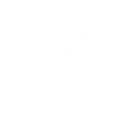 CCOC(=O)C1CC1(C)NCc1ccccc1